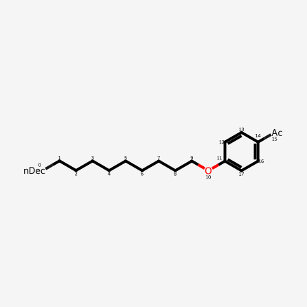 CCCCCCCCCCCCCCCCCCCOc1ccc(C(C)=O)cc1